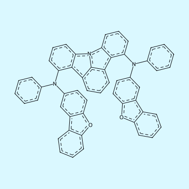 c1ccc(N(c2ccc3oc4ccccc4c3c2)c2cccc3c2c2cccc4c5c(N(c6ccccc6)c6ccc7oc8ccccc8c7c6)cccc5n3c24)cc1